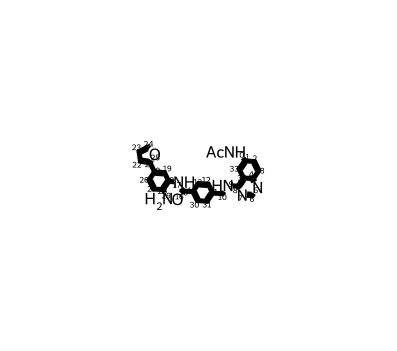 CC(=O)Nc1ccc2ncnc(NCc3ccc(C(=O)Nc4cc(-c5ccco5)ccc4N)cc3)c2c1